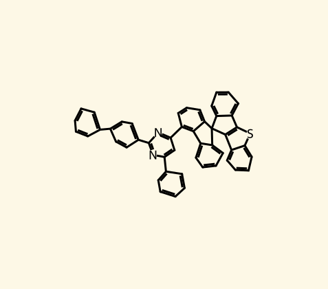 c1ccc(-c2ccc(-c3nc(-c4ccccc4)cc(-c4cccc5c4-c4ccccc4C54c5ccccc5-c5sc6ccccc6c54)n3)cc2)cc1